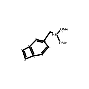 CO[SiH](Cc1ccc2c(c1)C=C2)OC